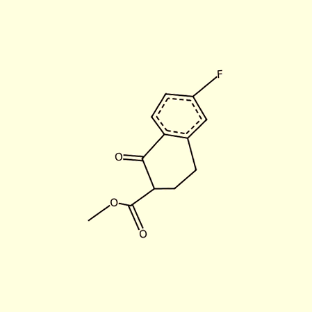 COC(=O)C1CCc2cc(F)ccc2C1=O